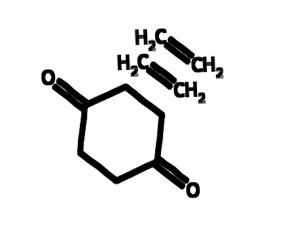 C=C.C=C.O=C1CCC(=O)CC1